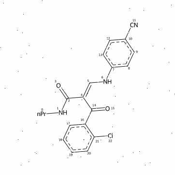 CCCNC(=O)C(=CNc1ccc(C#N)cc1)C(=O)c1ccccc1Cl